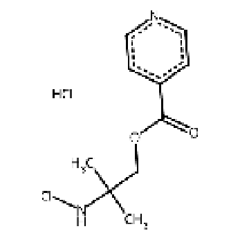 CC(C)(COC(=O)c1ccncc1)NCl.Cl